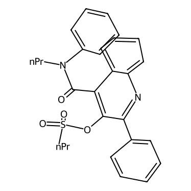 CCCN(C(=O)c1c(OS(=O)(=O)CCC)c(-c2ccccc2)nc2ccccc12)c1ccccc1